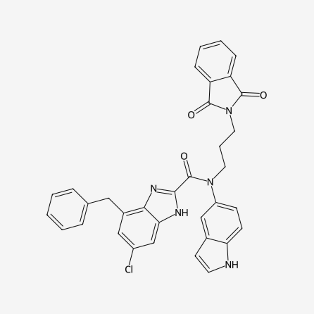 O=C1c2ccccc2C(=O)N1CCCN(C(=O)c1nc2c(Cc3ccccc3)cc(Cl)cc2[nH]1)c1ccc2[nH]ccc2c1